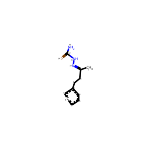 CC(CCc1ccccc1)=NNC(N)=S